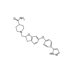 NC(=O)C1CCN(CC2Cc3ccc(Oc4ccc(-c5ccn[nH]5)cc4)cc3O2)CC1